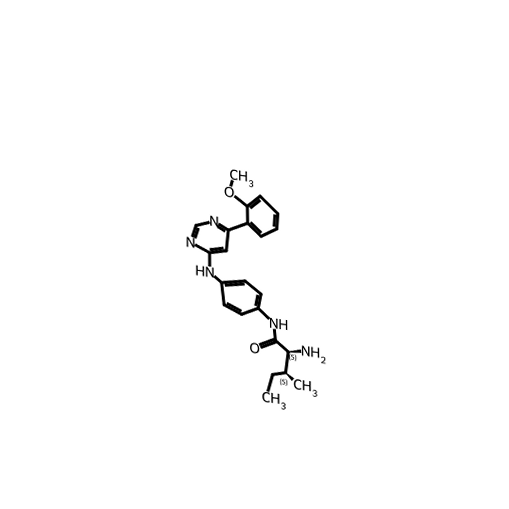 CC[C@H](C)[C@H](N)C(=O)Nc1ccc(Nc2cc(-c3ccccc3OC)ncn2)cc1